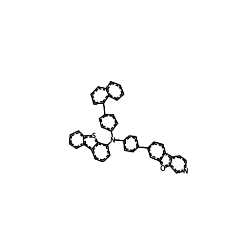 c1ccc2c(-c3ccc(N(c4ccc(-c5ccc6c(c5)oc5cnccc56)cc4)c4cccc5c4sc4ccccc45)cc3)cccc2c1